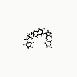 CC(C(=O)Nc1cc2cc(-c3cnn(C)c3CN3CCCCC3)ccc2cn1)N1CCCC1